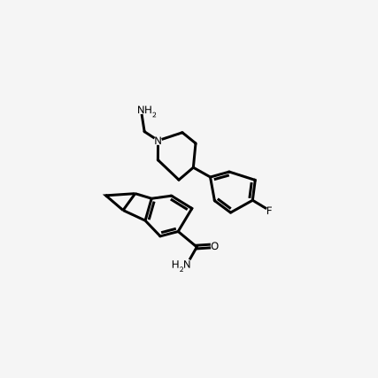 NC(=O)c1ccc2c(c1)C1CC21.NCN1CCC(c2ccc(F)cc2)CC1